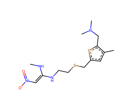 CNC(=C[N+](=O)[O-])NCCSCc1cc(C)c(CN(C)C)s1